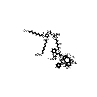 CCCCCCCCCCCCCCCCCC(=O)OCC[N+](C)(CCOC(=O)CCCCCCCCCCCCCCCCC)CCOP(=O)(O)OCCCC(=O)CCC(=O)O[C@@H](C(=O)O[C@H]1C[C@@]2(O)[C@@H](OC(=O)c3ccccc3)[C@@H]3[C@]4(OC(C)=O)CO[C@@H]4C[C@H](C)[C@@]3(C)C(=O)[C@H](C)C(=C1C)C2(C)C)[C@@H](NC(=O)OC(C)(C)C)c1ccccc1